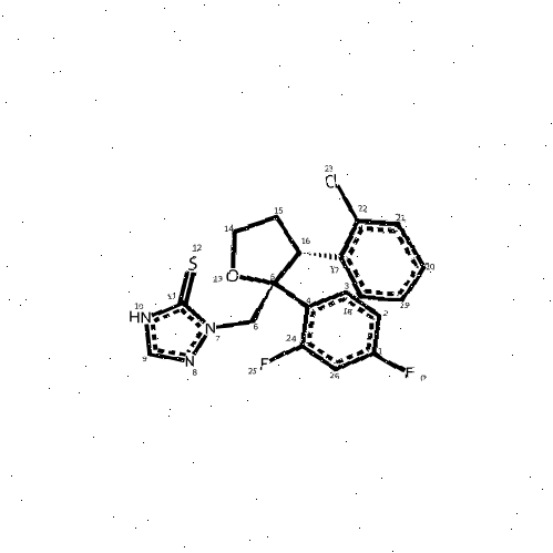 Fc1ccc([C@]2(Cn3nc[nH]c3=S)OCC[C@@H]2c2ccccc2Cl)c(F)c1